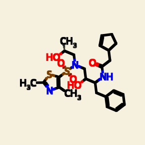 Cc1nc(C)c(S(=O)(=O)N(CC(O)C(Cc2ccccc2)NC(=O)CC2C=CCC2)C[C@@H](C)O)s1